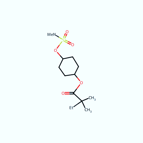 CCC(C)(C)C(=O)OC1CCC(OS(=O)(=O)NC)CC1